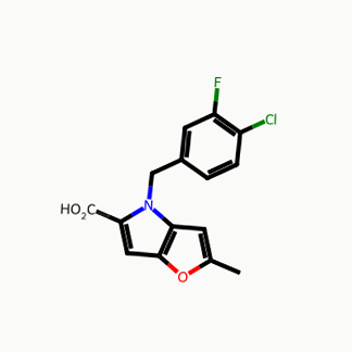 Cc1cc2c(cc(C(=O)O)n2Cc2ccc(Cl)c(F)c2)o1